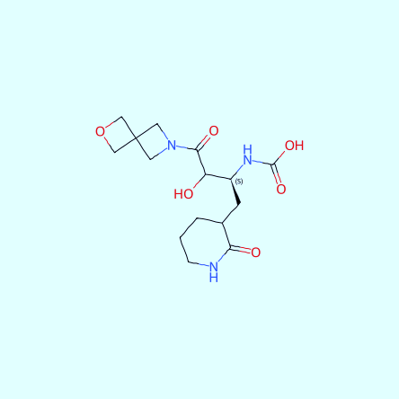 O=C(O)N[C@@H](CC1CCCNC1=O)C(O)C(=O)N1CC2(COC2)C1